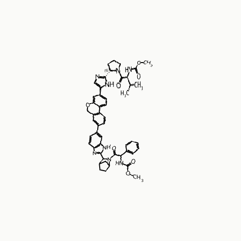 COC(=O)NC(C(=O)N1C2CCC(C2)C1c1nc2ccc(-c3ccc4c(c3)COc3cc(-c5cnc([C@@H]6CCCN6C(=O)C(NC(=O)OC)C(C)C)[nH]5)ccc3-4)cc2[nH]1)c1ccccc1